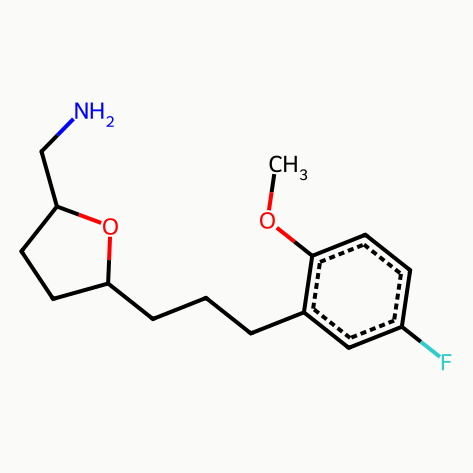 COc1ccc(F)cc1CCCC1CCC(CN)O1